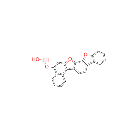 OBOc1cc2oc3c(ccc4c5ccccc5oc43)c2c2ccccc12